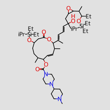 CCC(O[Si](CC)(CC)C(C)C)C(C)C1OC1CC(C)(O)/C=C/C=C(\C)C1OC(=O)CC(O[Si](CC)(CC)C(C)C)CCC(C)C(OC(=O)N2CCN(C3CCN(C)CC3)CC2)/C=C/C1C